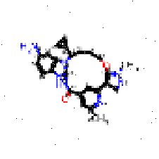 Cc1cc2cc(n1)-c1cnn(C)c1OCCCC(C1CC1)N1/C(=N/C2=O)Nc2ccc(N)cc21